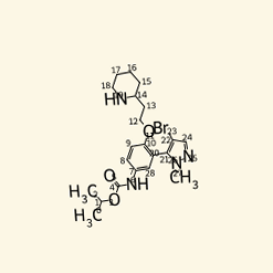 CC(C)OC(=O)Nc1ccc(OCCC2CCCCN2)c(-c2c(Br)cnn2C)c1